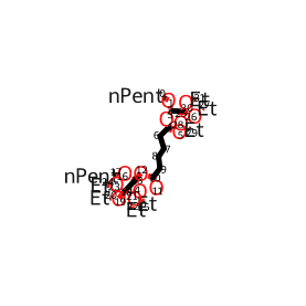 CCCCCOC(OC(=O)CCCCC(=O)OC(OCC)(OCCCCC)C(OCC)(OCC)OCC)C(OCC)(OCC)OCC